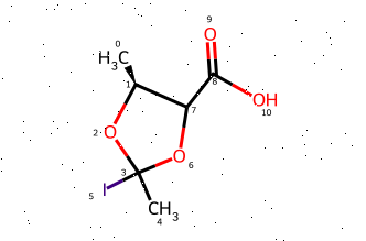 C[C@@H]1OC(C)(I)OC1C(=O)O